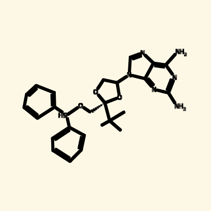 CC(C)(C)[C@@]1(CO[SiH](c2ccccc2)c2ccccc2)OCC(n2cnc3c(N)nc(N)nc32)O1